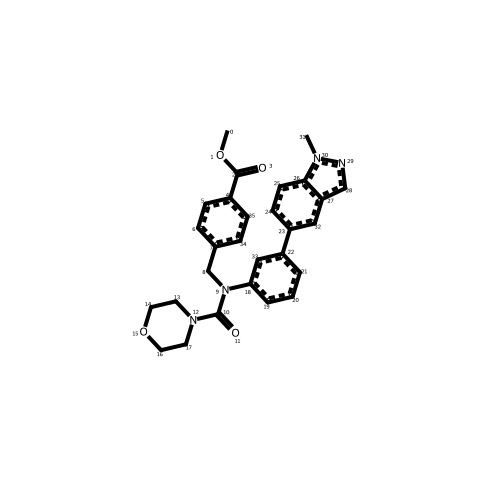 COC(=O)c1ccc(CN(C(=O)N2CCOCC2)c2cccc(-c3ccc4c(cnn4C)c3)c2)cc1